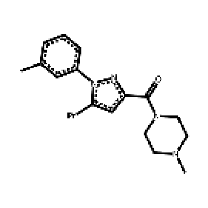 Cc1cccc(-n2nc(C(=O)N3CCN(C)CC3)cc2C(C)C)c1